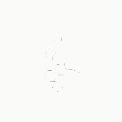 CCNCC1CCN(c2nc(N)nc3c2CCCC32CCCC2)C1